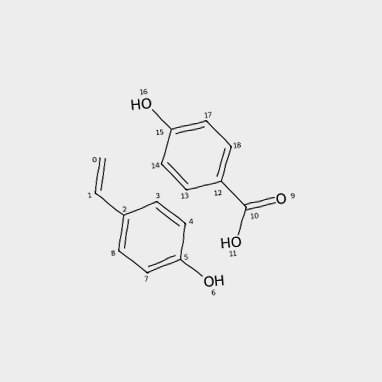 C=Cc1ccc(O)cc1.O=C(O)c1ccc(O)cc1